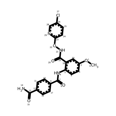 COc1ccc(NC(=O)c2ccc(C(N)=O)cc2)c(C(=O)NOc2ccc(Cl)cn2)c1